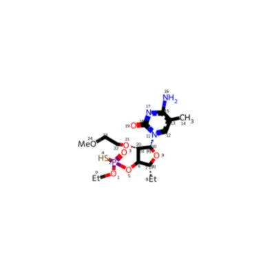 CCOP(=O)(S)OC1[C@@H](CC)O[C@@H](n2cc(C)c(N)nc2=O)[C@H]1OCCOC